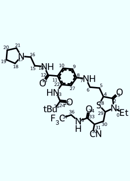 CCN1C(=O)C(CCNc2ccc(C(=O)NCCN3CCCC3)c(NC(=O)C(C)(C)C)c2)SC1CC(C#N)C(=O)NCC(F)(F)F